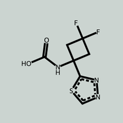 O=C(O)NC1(c2nncs2)CC(F)(F)C1